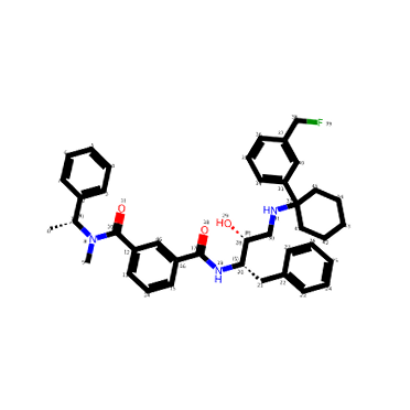 C[C@H](c1ccccc1)N(C)C(=O)c1cccc(C(=O)N[C@@H](Cc2ccccc2)[C@H](O)CNC2(c3cccc(CF)c3)CCCCC2)c1